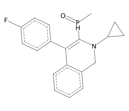 C[PH](=O)C1=C(c2ccc(F)cc2)c2ccccc2CN1C1CC1